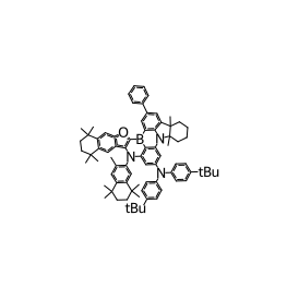 Cc1cc2c(cc1N1c3cc(N(c4ccc(C(C)(C)C)cc4)c4ccc(C(C)(C)C)cc4)cc4c3B(c3cc(-c5ccccc5)cc5c3N4C3(C)CCCCC53C)c3oc4cc5c(cc4c31)C(C)(C)CCC5(C)C)C(C)(C)CCC2(C)C